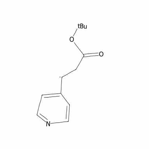 CC(C)(C)OC(=O)C[CH]c1ccncc1